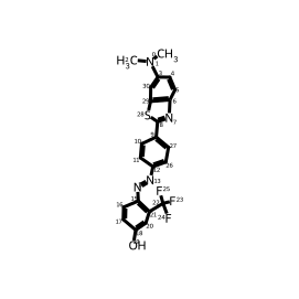 CN(C)c1ccc2nc(-c3ccc(N=Nc4ccc(O)cc4C(F)(F)F)cc3)sc2c1